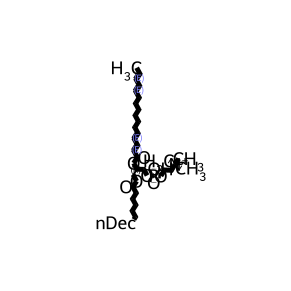 C/C=C/C=C/CCCCCC/C=C/C=C/C(=O)O[C@H](COC(=O)CCCCCCCCCCCCCCC)COP(=O)(O)OCC[N+](C)(C)C